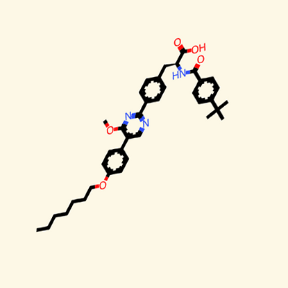 CCCCCCCOc1ccc(-c2cnc(-c3ccc(C[C@H](NC(=O)c4ccc(C(C)(C)C)cc4)C(=O)O)cc3)nc2OC)cc1